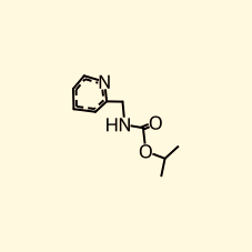 CC(C)OC(=O)NCc1ccccn1